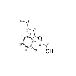 CCCCCOCCO.Cc1ccccc1